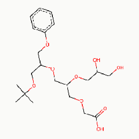 CC(C)(C)OCC(COc1ccccc1)OCC(COCC(=O)O)OCC(O)CO